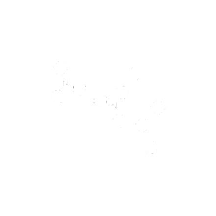 CC1(C)c2ccccc2-c2cc3c4cc(-c5ccc6c(c5)c5ccccc5n6-c5ccccc5)ccc4n(-c4cccc(-c5cc(-c6ccccc6)cc(-c6ccccc6)c5)c4)c3cc21